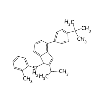 Cc1ccccc1[SiH2]C1C(C(C)C)=Cc2c(-c3ccc(C(C)(C)C)cc3)cccc21